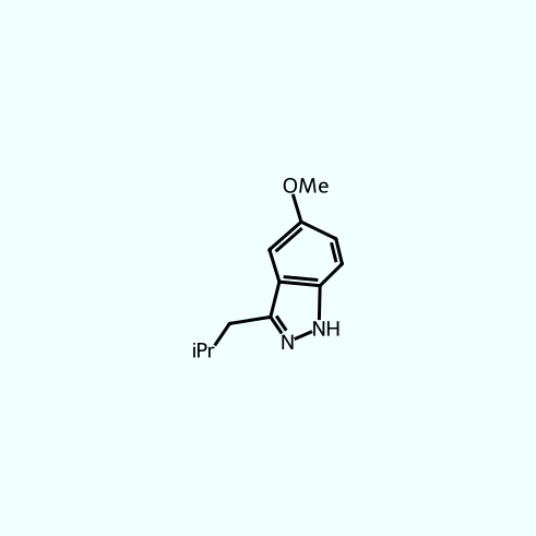 COc1ccc2[nH]nc(CC(C)C)c2c1